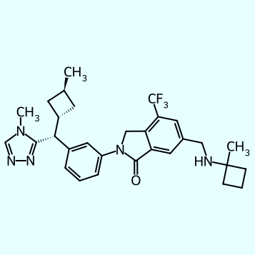 Cn1cnnc1[C@@H](c1cccc(N2Cc3c(cc(CNC4(C)CCC4)cc3C(F)(F)F)C2=O)c1)[C@H]1C[C@H](C)C1